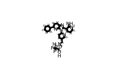 NCc1ccc(-n2c(-c3cccnc3N)nc3ccc(-c4ccccc4)nc32)nc1.O=C(O)C(F)(F)F